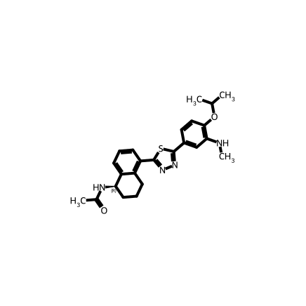 CNc1cc(-c2nnc(-c3cccc4c3CCC[C@H]4NC(C)=O)s2)ccc1OC(C)C